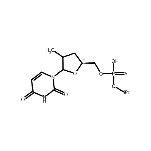 CC(C)OP(O)(=S)OC[C@@H]1CC(C)C(n2ccc(=O)[nH]c2=O)O1